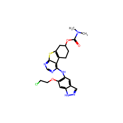 CN(C)C(=O)OC1CCc2c(sc3ncnc(Nc4cc5cn[nH]c5cc4OCCCl)c23)C1